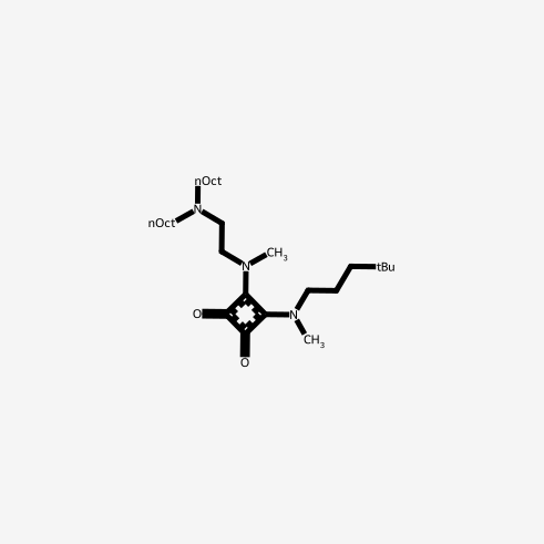 CCCCCCCCN(CCCCCCCC)CCN(C)c1c(N(C)CCCC(C)(C)C)c(=O)c1=O